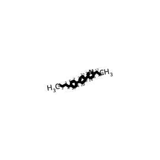 CCCCCc1ccc(-c2ccc(-c3ccc(CCC)nc3)cc2)cc1